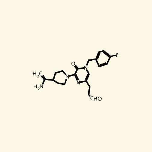 C=C(N)C1CCN(c2nc(CCC=O)cn(Cc3ccc(F)cc3)c2=O)CC1